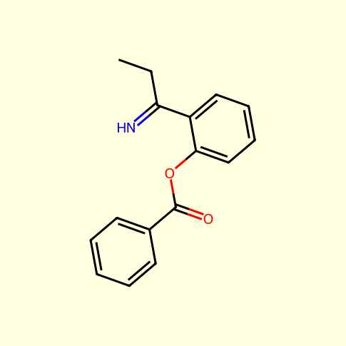 CCC(=N)c1ccccc1OC(=O)c1ccccc1